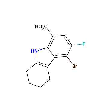 O=C(O)c1cc(F)c(Br)c2c3c([nH]c12)CCCC3